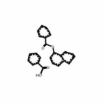 O=C(O)c1ccccc1.O=C(Oc1cccc2ccccc12)c1ccccc1